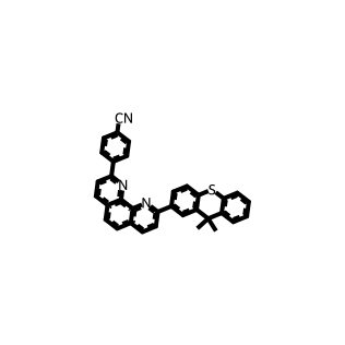 CC1(C)c2ccccc2Sc2ccc(-c3ccc4ccc5ccc(-c6ccc(C#N)cc6)nc5c4n3)cc21